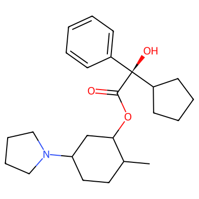 CC1CCC(N2CCCC2)CC1OC(=O)[C@](O)(c1ccccc1)C1CCCC1